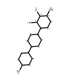 CCC1CCC(C2CCC(C3CCC(O)C(F)C3F)CC2)CC1